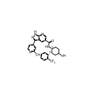 CCCC1CC[C@H](NC(=O)c2cnc3[nH]nc(-c4ccnc(C)c4)c3c2)[C@@H](c2ccccc2C(F)(F)F)C1